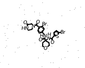 O=C1CN(C(=O)c2ccc(NC(=O)C3(NC(=O)c4ccc(Br)s4)CCOCC3)cc2Br)CCN1